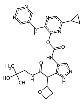 CC(C)(O)CNC(=O)C(c1[nH]ncc1NC(=O)Oc1nc(C2CC2)cnc1Nc1cncnc1)C1CCO1